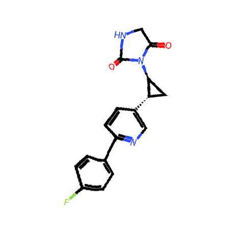 O=C1CNC(=O)N1[C@H]1C[C@@H]1c1ccc(-c2ccc(F)cc2)nc1